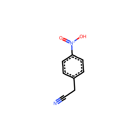 N#CCc1ccc([N+](=O)O)cc1